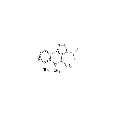 CC1c2c(nnn2C(F)F)-c2ccnc(N)c2N1C